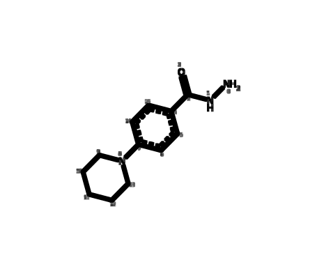 NNC(=O)c1ccc(N2CCCCC2)cc1